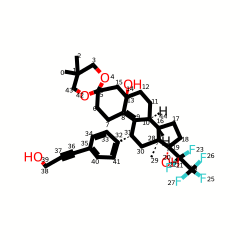 CC1(C)COC2(CCC3=C4[C@@H](CC[C@@]3(O)C2)[C@@H]2CC[C@@](O)(C(F)(F)C(F)(F)F)[C@@]2(C)C[C@@H]4c2ccc(C#CCO)cc2)OC1